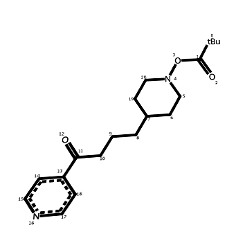 CC(C)(C)C(=O)ON1CCC(CCCC(=O)c2ccncc2)CC1